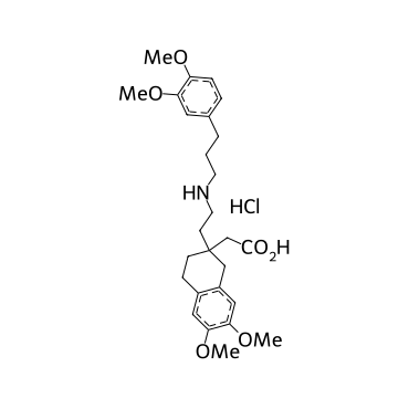 COc1ccc(CCCNCCC2(CC(=O)O)CCc3cc(OC)c(OC)cc3C2)cc1OC.Cl